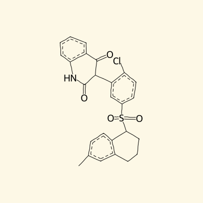 Cc1ccc2c(c1)CCCC2S(=O)(=O)c1ccc(Cl)c(C2C(=O)Nc3ccccc3C2=O)c1